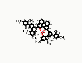 Cc1cc(C)c(-c2cc3cc(c2)-c2c(C)cc(C)cc2OP2(=O)Oc4c(Cc5ccc(-c6c(C)cc(C)cc6C)cc5-c5c(C)cc(C)cc5C)cc5c(c4-c4c6c(cc-3c4O2)CCCC6)CCCC5)c(C)c1